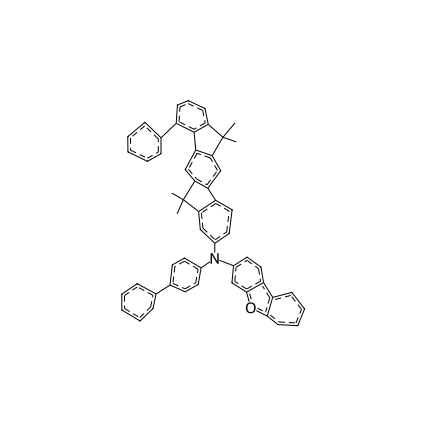 CC1(C)c2cc(N(c3ccc(-c4ccccc4)cc3)c3ccc4c(c3)oc3ccccc34)ccc2-c2cc3c(cc21)-c1c(-c2ccccc2)cccc1C3(C)C